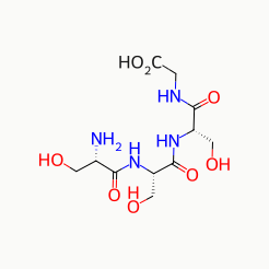 N[C@@H](CO)C(=O)N[C@@H](CO)C(=O)N[C@@H](CO)C(=O)NCC(=O)O